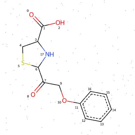 O=C(O)C1CSC(C(=O)COc2ccccc2)N1